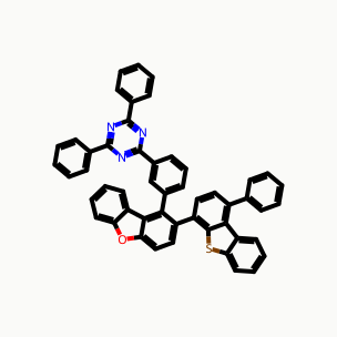 c1ccc(-c2nc(-c3ccccc3)nc(-c3cccc(-c4c(-c5ccc(-c6ccccc6)c6c5sc5ccccc56)ccc5oc6ccccc6c45)c3)n2)cc1